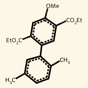 CCOC(=O)c1cc(-c2cc(C)ccc2C)c(C(=O)OCC)cc1OC